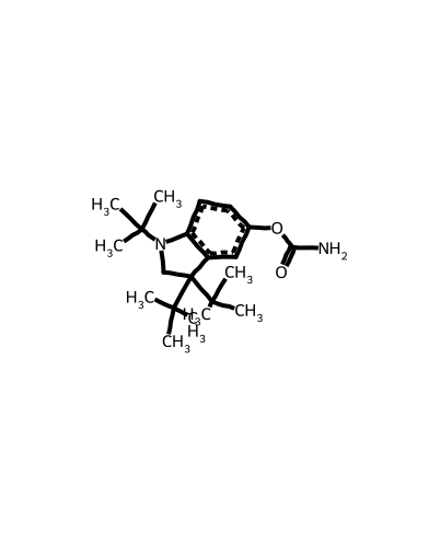 CC(C)(C)N1CC(C(C)(C)C)(C(C)(C)C)c2cc(OC(N)=O)ccc21